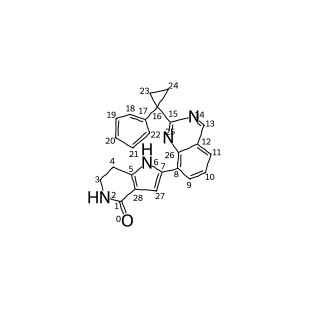 O=C1NCCc2[nH]c(-c3cccc4cnc(C5(c6ccccc6)CC5)nc34)cc21